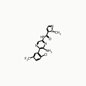 Cn1nccc1C(=O)Nc1cnc(-c2cc(C(F)(F)F)ccc2Cl)c(N)n1